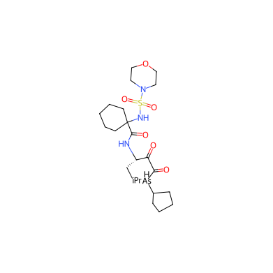 CC(C)C[C@H](NC(=O)C1(NS(=O)(=O)N2CCOCC2)CCCCC1)C(=O)C(=O)[AsH]C1CCCC1